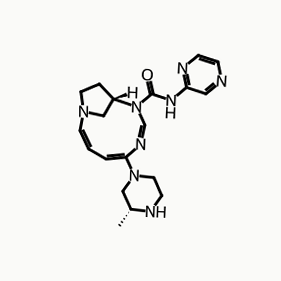 C[C@@H]1CN(C2=CC=CN3CC[C@@H](C3)N(C(=O)Nc3cnccn3)C=N2)CCN1